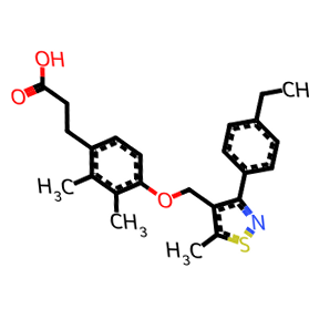 CCc1ccc(-c2nsc(C)c2COc2ccc(CCC(=O)O)c(C)c2C)cc1